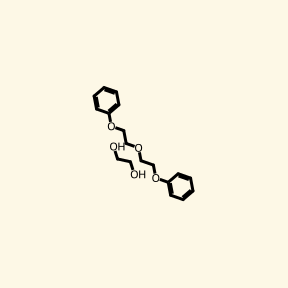 OCCO.c1ccc(OCCOCCOc2ccccc2)cc1